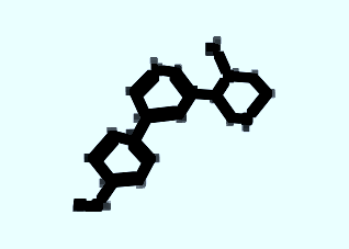 [CH2]CN1CCOCC1c1cncc(-c2ccc(OC)cc2)c1